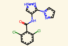 O=C(Nc1c[nH]nc1-n1cccn1)c1c(Cl)cccc1Cl